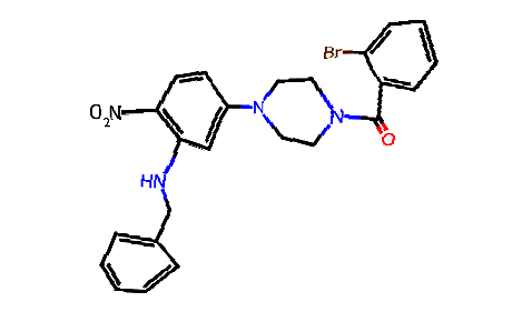 O=C(c1ccccc1Br)N1CCN(c2ccc([N+](=O)[O-])c(NCc3ccccc3)c2)CC1